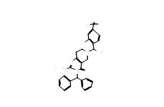 CC(c1ccc(C(F)(F)F)cc1F)N1CCc2nc(N)n(C(c3ccccc3)c3ccccc3)c(=O)c2C1